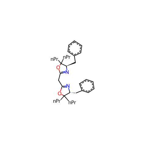 CCCC1(CCC)OC(CC2=N[C@H](Cc3ccccc3)C(CCC)(CCC)O2)=N[C@@H]1Cc1ccccc1